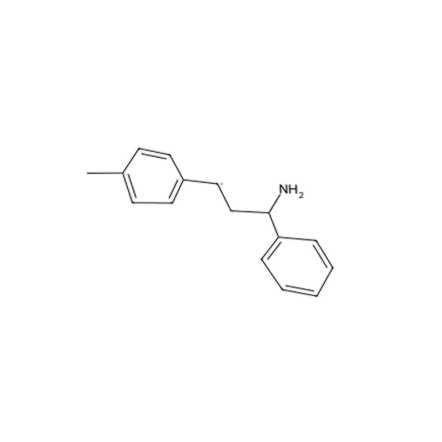 Cc1ccc([CH]CC(N)c2ccccc2)cc1